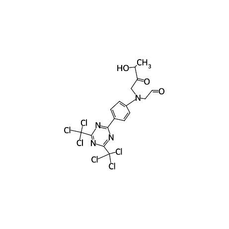 CC(O)C(=O)CN(CC=O)c1ccc(-c2nc(C(Cl)(Cl)Cl)nc(C(Cl)(Cl)Cl)n2)cc1